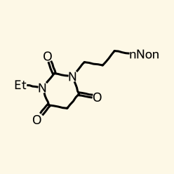 CCCCCCCCCCCCN1C(=O)CC(=O)N(CC)C1=O